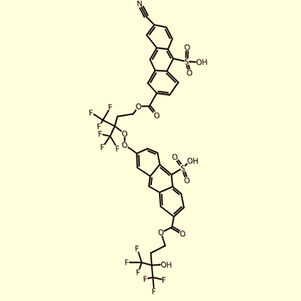 N#Cc1ccc2c(S(=O)(=O)O)c3ccc(C(=O)OCCC(OOc4ccc5c(S(=O)(=O)O)c6ccc(C(=O)OCCC(O)(C(F)(F)F)C(F)(F)F)cc6cc5c4)(C(F)(F)F)C(F)(F)F)cc3cc2c1